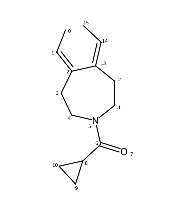 C/C=C1/CCN(C(=O)C2CC2)CC/C1=C/C